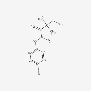 CC(C)(CCl)C(=O)C(Br)Oc1ccc(I)cc1